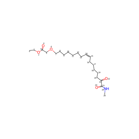 CCOC(=O)COCCCCCCC/C=C\CCCCCC(=O)C(=O)NC